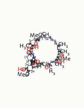 CO[C@H]1C[C@@H]2CC[C@@H](C)[C@@](O)(O2)C(=O)C(=O)N2CCC[C@@H]3C(C[C@@H]4CC[C@@H](O)[C@H](OC)C4)[C@H](CC(=O)[C@H](C)/C=C(\C)[C@@H](O)[C@@H](OC)C(=O)[C@H](C)C[C@H](C)/C=C/C=C/C=C/1C)OC(=O)[C@H]32